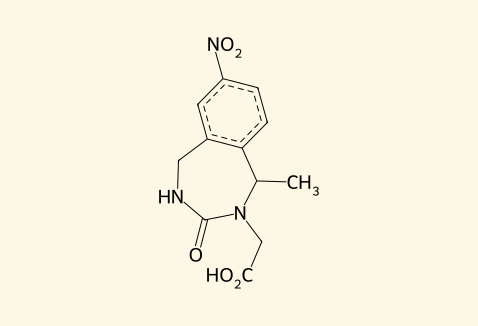 CC1c2ccc([N+](=O)[O-])cc2CNC(=O)N1CC(=O)O